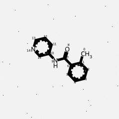 Cc1ccccc1C(=O)Nc1cccnc1